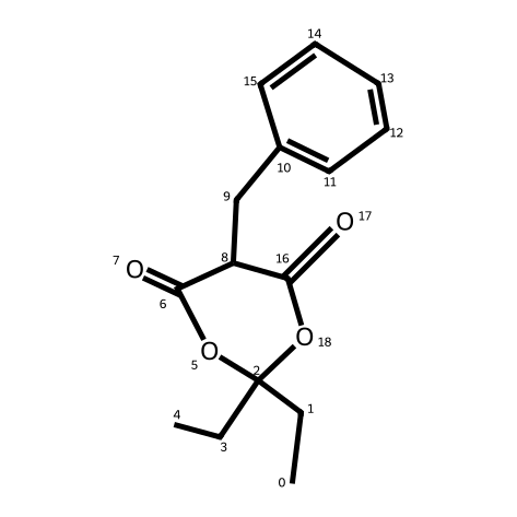 CCC1(CC)OC(=O)C(Cc2ccccc2)C(=O)O1